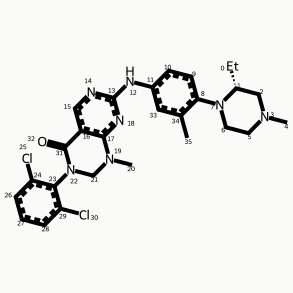 CC[C@@H]1CN(C)CCN1c1ccc(Nc2ncc3c(n2)N(C)CN(c2c(Cl)cccc2Cl)C3=O)cc1C